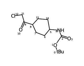 [CH]C(C)(C)OC(=O)NC1CCC(C(=O)CCl)CC1